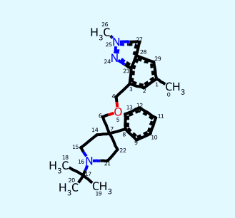 Cc1cc(COCC2(c3ccccc3)CCN(C(C)(C)C)CC2)c2nn(C)cc2c1